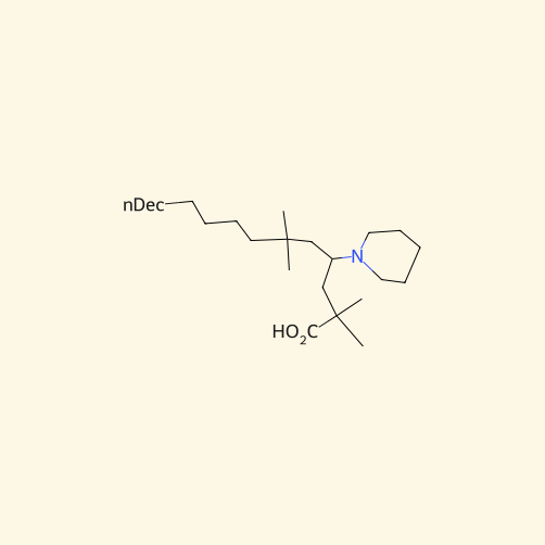 CCCCCCCCCCCCCCC(C)(C)CC(CC(C)(C)C(=O)O)N1CCCCC1